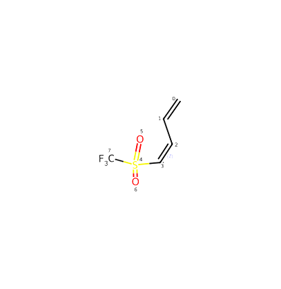 C=C/C=[C]\S(=O)(=O)C(F)(F)F